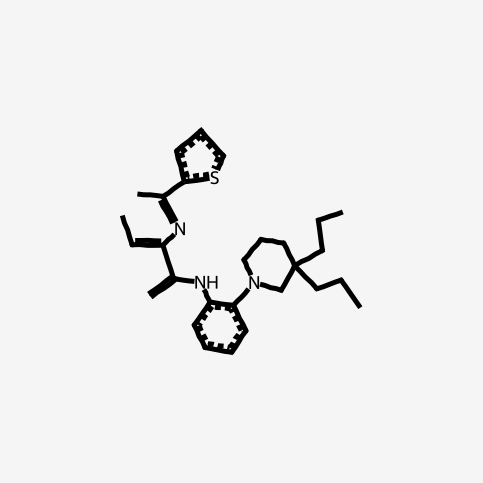 C=C(Nc1ccccc1N1CCCC(CCC)(CCC)C1)C(=C/C)/N=C(\C)c1cccs1